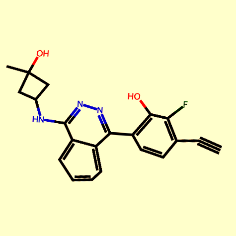 C#Cc1ccc(-c2nnc(NC3CC(C)(O)C3)c3ccccc23)c(O)c1F